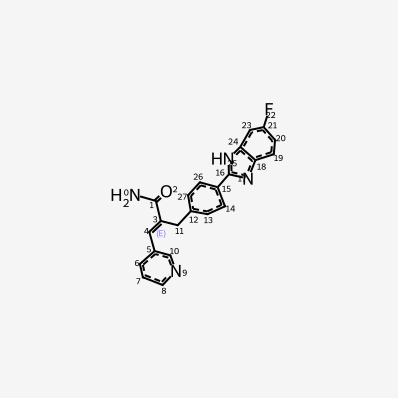 NC(=O)/C(=C/c1cccnc1)Cc1ccc(-c2nc3ccc(F)cc3[nH]2)cc1